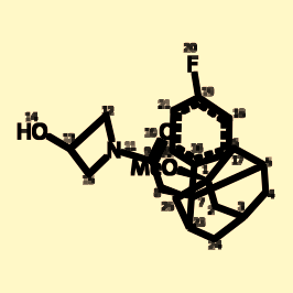 CO[C@]12CC3CC(C1)[C@@](CC(=O)N1CC(O)C1)(c1ccc(F)cc1)C(C3)C2